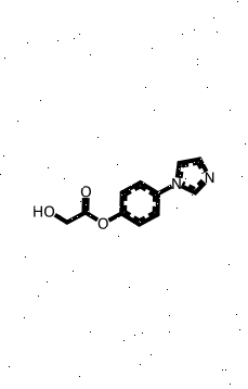 O=C(CO)Oc1ccc(-n2ccnc2)cc1